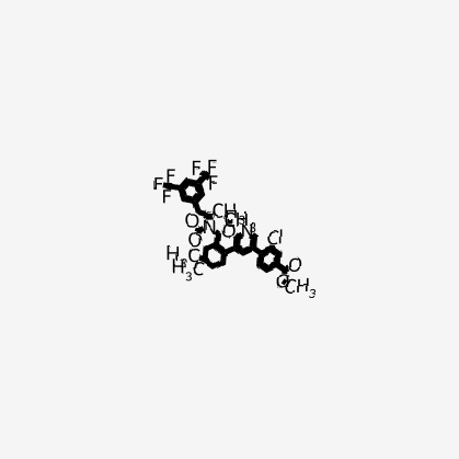 COC(=O)c1ccc(-c2cnc(OC)c(C3=C(CN4C(=O)OC(c5cc(C(F)(F)F)cc(C(F)(F)F)c5)[C@@H]4C)CC(C)(C)CC3)c2)c(Cl)c1